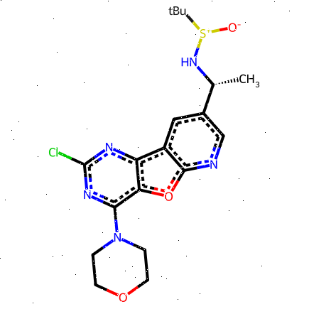 C[C@@H](N[S+]([O-])C(C)(C)C)c1cnc2oc3c(N4CCOCC4)nc(Cl)nc3c2c1